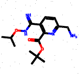 CC(C)ONC(=N)c1ccc(CN)nc1C(=O)OC(C)(C)C